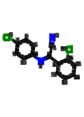 N#C/C(=N\c1ccc(Cl)cc1)c1ccccc1Cl